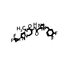 CN1C(=O)[C@H](NC(=O)c2ncn(Cc3ccc(F)c(F)c3)n2)CCn2nc([C@H]3CC3(F)F)cc21